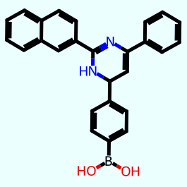 OB(O)c1ccc(C2C=C(c3ccccc3)N=C(c3ccc4ccccc4c3)N2)cc1